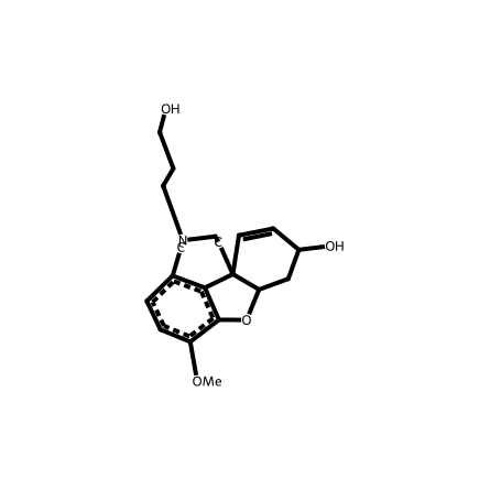 COc1ccc2c3c1OC1CC(O)C=CC31CCN(CCCO)C2